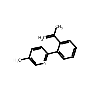 C=C(C)c1ccccc1-c1ccc(C)cn1